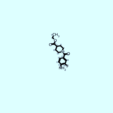 CCOC(=O)C1CCN(C(=O)c2ccc(N)c(F)c2)CC1